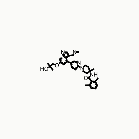 C=NCc1cnn2cc(OCC(C)(C)O)cc(-c3ccc(N4CCC(C)(NC(=O)c5c(C)cccc5C)CC4)nc3)c12